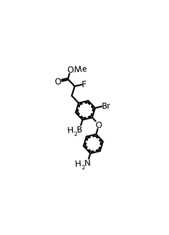 Bc1cc(CC(F)C(=O)OC)cc(Br)c1Oc1ccc(N)cc1